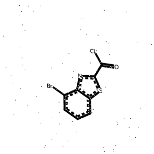 O=C(Cl)c1nc2c(Br)cccc2s1